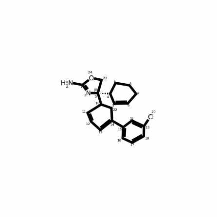 NC1=N[C@](C2C=CCCC2)(C2C=CC=C(c3cccc(Cl)c3)C2)CO1